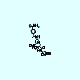 CCC(C)CC(C#N)NC(=O)C(N)CN1C[C@@H](N[C@@H](C)c2ccc(C(N)=O)cc2)CC1C=O